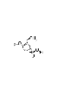 C=Cc1cc([PH](=O)OCC)ccc1OC(C)C